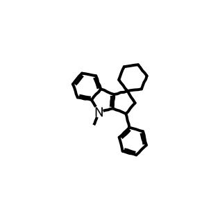 Cn1c2c(c3ccccc31)C1(CCCCC1)CC2c1ccccc1